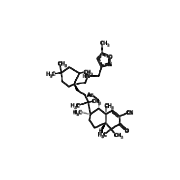 CC(=O)C[C@@H]1[C@@]2(C)C=C(C#N)C(=O)C(C)(C)[C@@H]2CC[C@@]1(C)C(C)(C)CC[C@@]1(CNCc2cc(C)on2)CCC(C)(C)CC1C